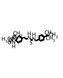 COc1cc(CCNC(=S)NCc2ccc(C(C)(C)C)cc2)ccc1NS(C)(=O)=O